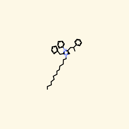 CCCCCCCCCCCCCn1cc(CC(C)c2ccccc2)[n+](-c2ccccc2)c1Cc1ccccc1